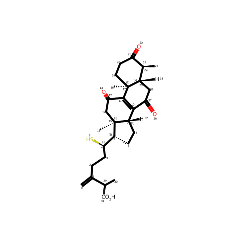 C=C(CC[C@@H](S)[C@H]1CC[C@H]2C3=C(C(=O)C[C@]12C)[C@@]1(C)CCC(=O)[C@@H](C)[C@@H]1CC3=O)C(C)C(=O)O